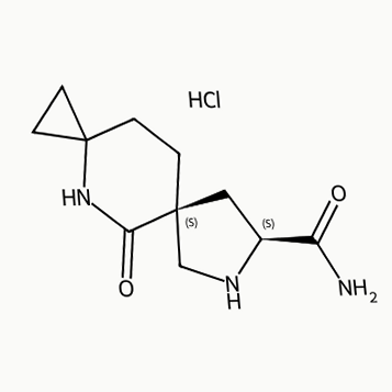 Cl.NC(=O)[C@@H]1C[C@@]2(CCC3(CC3)NC2=O)CN1